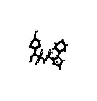 C=CC(c1ccc(F)cc1)S(=O)(=O)NC(=N)C1=C(c2ccccc2)CNN1